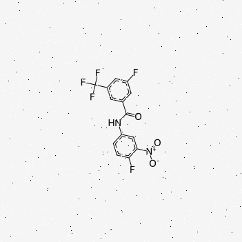 O=C(Nc1ccc(F)c([N+](=O)[O-])c1)c1cc(F)cc(C(F)(F)F)c1